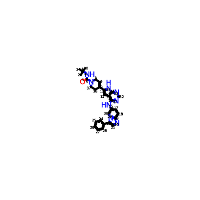 CC(C)(C)NC(=O)N1CC=C(c2cc3c(Nc4ccc5ncc(-c6ccccc6)n5c4)ncnc3[nH]2)CC1